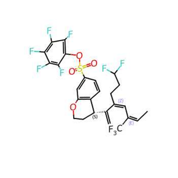 C=C(/C(=C\C(=C/C)C(F)(F)F)CCC(F)F)[C@@H]1CCOc2cc(S(=O)(=O)Oc3c(F)c(F)c(F)c(F)c3F)ccc21